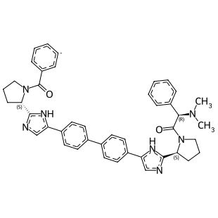 CN(C)[C@@H](C(=O)N1CCC[C@H]1c1ncc(-c2ccc(-c3ccc(-c4cnc([C@@H]5CCCN5C(=O)c5c[c]ccc5)[nH]4)cc3)cc2)[nH]1)c1ccccc1